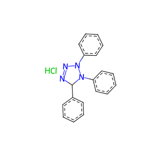 Cl.c1ccc(C2N=NN(c3ccccc3)N2c2ccccc2)cc1